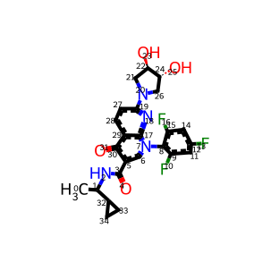 CC(NC(=O)c1cn(-c2c(F)cc(F)cc2F)c2nc(N3C[C@@H](O)[C@H](O)C3)ccc2c1=O)C1CC1